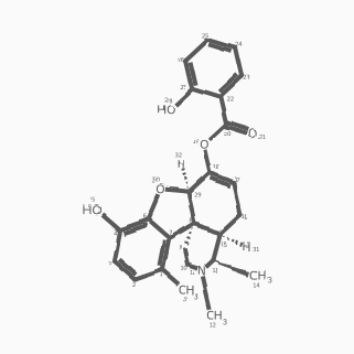 Cc1ccc(O)c2c1[C@]13CCN(C)[C@H](C)[C@@H]1CC=C(OC(=O)c1ccccc1O)[C@@H]3O2